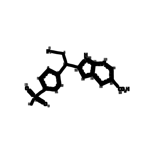 CC(C)CC(c1ccc(S(C)(=O)=O)cc1)c1cc2cc(C(=O)O)cnc2[nH]1